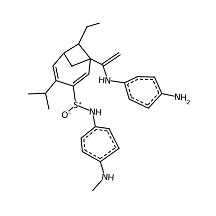 C=C(Nc1ccc(N)cc1)C12C=C([S+]([O-])Nc3ccc(NC)cc3)C(C(C)C)=CC(C1)C2CC